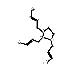 OC=CCN1CCN(CC=CO)N1CC=CO